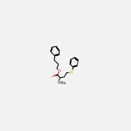 COC(CCSc1ccccc1)C(=O)OCCCc1ccccc1